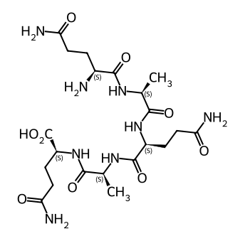 C[C@H](NC(=O)[C@H](CCC(N)=O)NC(=O)[C@H](C)NC(=O)[C@@H](N)CCC(N)=O)C(=O)N[C@@H](CCC(N)=O)C(=O)O